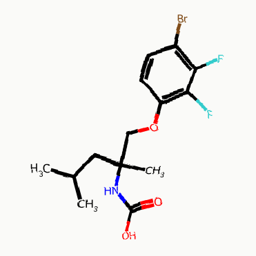 CC(C)CC(C)(COc1ccc(Br)c(F)c1F)NC(=O)O